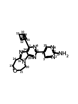 Nc1ncc(-c2nc(N3CC4CC3C4)c3nc4n(c3n2)CCOCC4)cn1